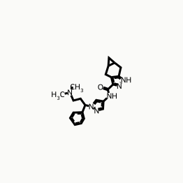 CN(C)CCC(c1ccccc1)n1cc(NC(=O)c2n[nH]c3c2CC2CC2C3)cn1